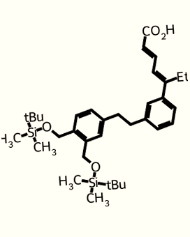 CCC(=CC=CC(=O)O)c1cccc(CCc2ccc(CO[Si](C)(C)C(C)(C)C)c(CO[Si](C)(C)C(C)(C)C)c2)c1